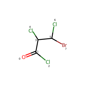 O=C(Cl)C(Cl)C(Cl)Br